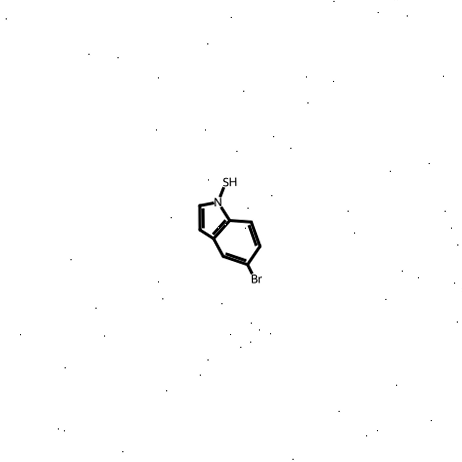 Sn1ccc2cc(Br)ccc21